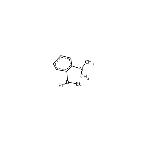 CCB(CC)c1ccccc1N(C)C